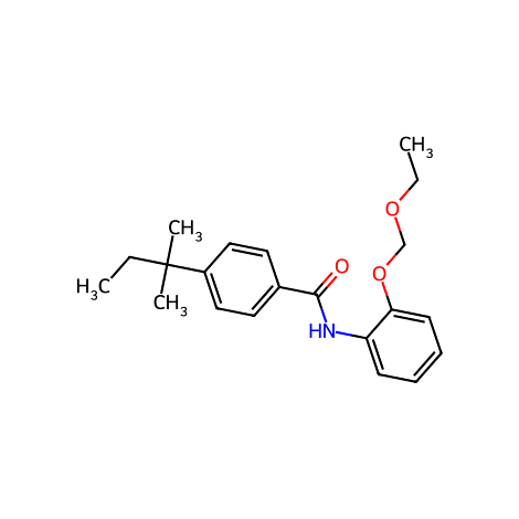 CCOCOc1ccccc1NC(=O)c1ccc(C(C)(C)CC)cc1